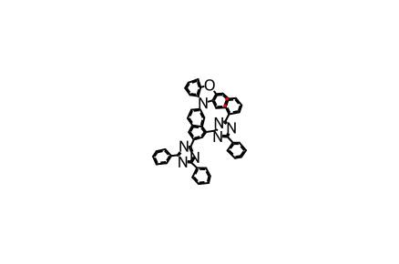 c1ccc(-c2nc(-c3ccccc3)nc(-c3cc(-c4nc(-c5ccccc5)nc(-c5ccccc5)n4)c4cc(N5c6ccccc6Oc6ccccc65)ccc4c3)n2)cc1